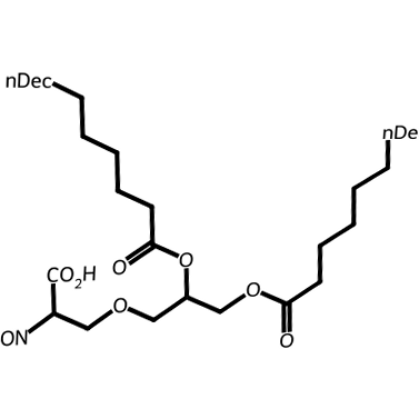 CCCCCCCCCCCCCCCC(=O)OCC(COCC(N=O)C(=O)O)OC(=O)CCCCCCCCCCCCCCC